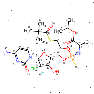 CC(C)OC(=O)[C@@H](C)NP(=S)(OCCSC(=O)C(C)(C)C)OC[C@H]1O[C@@H](n2ccc(N)nc2=O)[C@](F)(Cl)[C@@H]1O